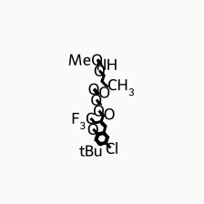 CONOCCC(C)OC(=O)OCOC(=O)C1=Cc2cc(Cl)c(C(C)(C)C)cc2OC1C(F)(F)F